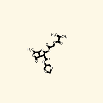 C=C(C)C(=O)OCC(=O)OC1OC2C(C)OC(=O)C2C1C(=O)OC1COCOC1